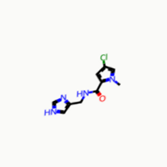 Cn1cc(Cl)cc1C(=O)NCc1c[nH]cn1